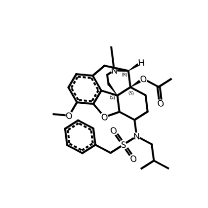 COc1ccc2c3c1OC1C(N(CC(C)C)S(=O)(=O)Cc4ccccc4)CC[C@@]4(OC(C)=O)[C@@H](C2)N(C)CC[C@]314